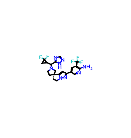 Nc1ncc(-c2cc3n(n2)CC[C@@]32CCN(C(c3ncn[nH]3)C3CC3(F)F)C2)cc1C(F)(F)F